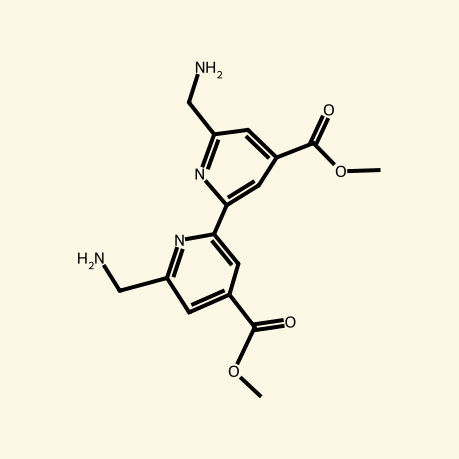 COC(=O)c1cc(CN)nc(-c2cc(C(=O)OC)cc(CN)n2)c1